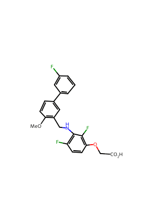 COc1ccc(-c2cccc(F)c2)cc1CNc1c(F)ccc(OCC(=O)O)c1F